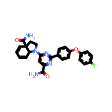 NC(=O)c1cc(N2CCC3(C(N)=O)C=CC=CC23)nc(-c2ccc(Oc3ccc(F)cc3)cc2)n1